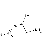 CC(=O)/C(=C/N(C)C)CN